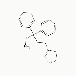 NCC(CCN1CCCC1)(c1ccccc1)c1ccccc1